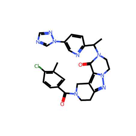 Cc1cc(C(=O)N2CCc3nn4c(c3C2)C(=O)N(C(C)c2ccc(-n3cncn3)cn2)CC4)ccc1Cl